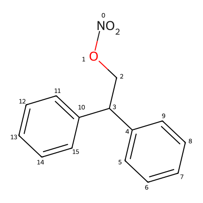 O=[N+]([O-])OCC(c1ccccc1)c1ccccc1